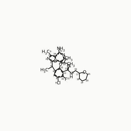 Cc1nc(C(C)c2cc(Cl)c(F)c(C(=O)NCC3CCCCO3)c2OC(C)C)n2ccnc(N)c12